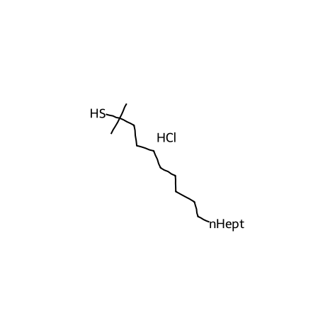 CCCCCCCCCCCCCCCC(C)(C)S.Cl